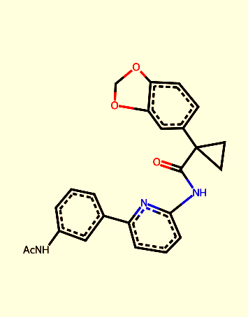 CC(=O)Nc1cccc(-c2cccc(NC(=O)C3(c4ccc5c(c4)OCO5)CC3)n2)c1